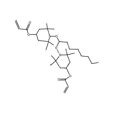 C=CC(=O)OC1CC(C)(C)N(OC(CCCCCCC)ON2C(C)(C)CC(OC(=O)C=C)CC2(C)C)C(C)(C)C1